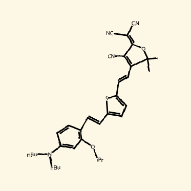 [C-]#[N+]C1=C(/C=C/c2ccc(/C=C/c3ccc(N(CCCC)CCCC)cc3OC(C)C)s2)C(C)(C)OC1=C(C#N)C#N